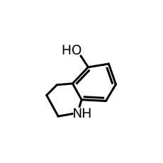 Oc1cccc2c1CCCN2